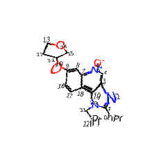 CCCc1nc2c[n+]([O-])c3cc(OC4CCOC4)ccc3c2n1CC(C)C